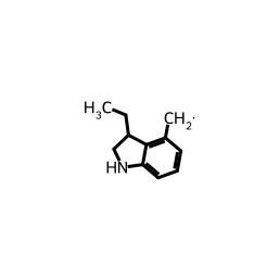 [CH2]c1cccc2c1C(CC)CN2